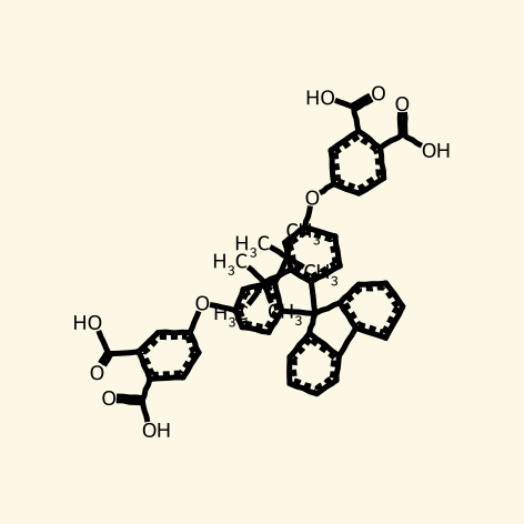 CC(C)(C)c1cc(Oc2ccc(C(=O)O)c(C(=O)O)c2)ccc1C1(c2ccc(Oc3ccc(C(=O)O)c(C(=O)O)c3)cc2C(C)(C)C)c2ccccc2-c2ccccc21